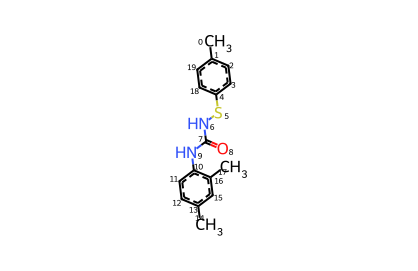 Cc1ccc(SNC(=O)Nc2ccc(C)cc2C)cc1